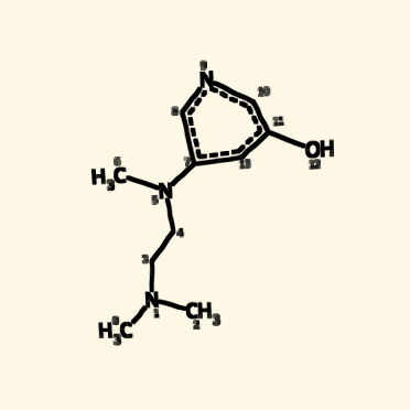 CN(C)CCN(C)c1cncc(O)c1